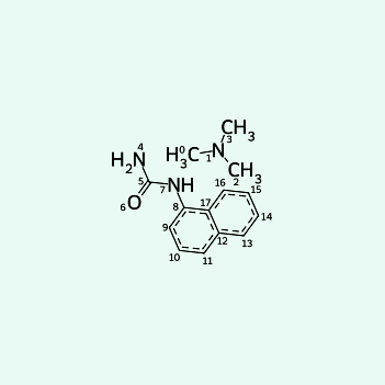 CN(C)C.NC(=O)Nc1cccc2ccccc12